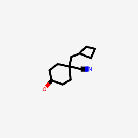 N#CC1(CC2CCC2)CCC(=O)CC1